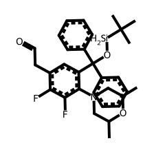 CC1CN(c2c(C(O[SiH2]C(C)(C)C)(c3ccccc3)c3ccccc3)cc(CC=O)c(F)c2F)CC(C)O1